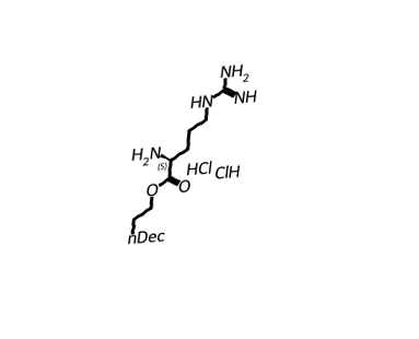 CCCCCCCCCCCCOC(=O)[C@@H](N)CCCNC(=N)N.Cl.Cl